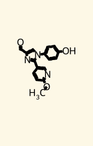 COc1ccc(-c2nc(C=O)cn2-c2ccc(O)cc2)cn1